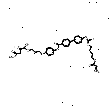 C=CC(=O)OCCCCOC(=O)Oc1ccc(-c2ccc(C(=O)Oc3ccc(OCCCOC(O)C(=C)CC(=O)OC)cc3)cc2)cc1